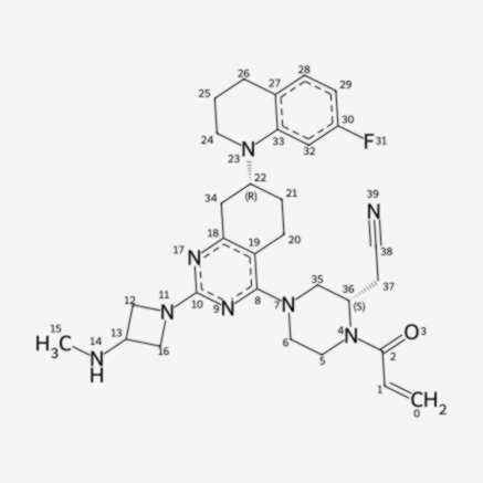 C=CC(=O)N1CCN(c2nc(N3CC(NC)C3)nc3c2CC[C@@H](N2CCCc4ccc(F)cc42)C3)C[C@@H]1CC#N